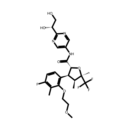 COCCOc1c([C@H]2[C@H](C(=O)Nc3cnc([C@H](O)CO)nc3)O[C@@](C)(C(F)(F)F)[C@H]2C)ccc(F)c1C